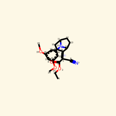 CCOC(=O)/C(C#N)=C1\CCC2CCC1N2c1cc(OC)cc(OC)c1